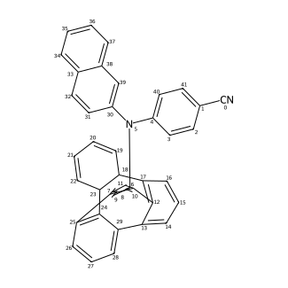 N#Cc1ccc(N(c2ccc3c(c2)-c2c4cccc2C2C=CC=CC2c2c-3cccc2-4)c2ccc3ccccc3c2)cc1